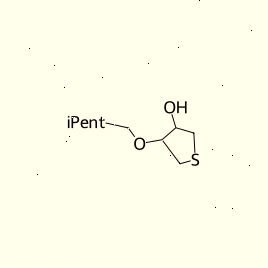 CCCC(C)COC1CSCC1O